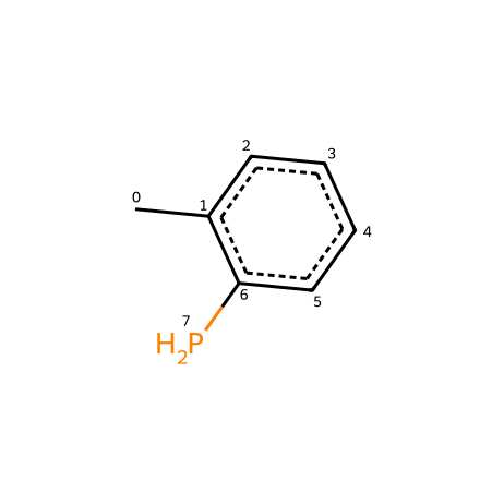 Cc1ccccc1P